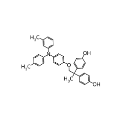 Cc1ccc(N(c2ccc(OCC(C)(c3ccc(O)cc3)c3ccc(O)cc3)cc2)c2cccc(C)c2)cc1